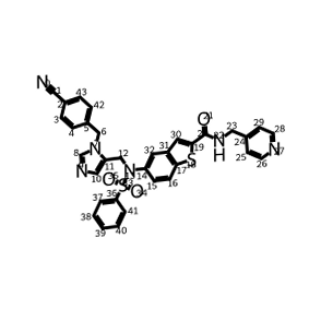 N#Cc1ccc(Cn2cncc2CN(c2ccc3sc(C(=O)NCc4ccncc4)cc3c2)S(=O)(=O)c2ccccc2)cc1